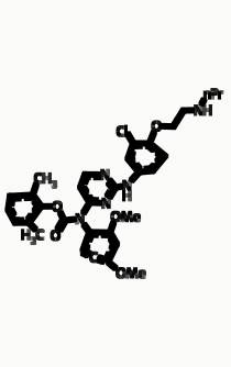 CCCNCCOc1ccc(Nc2nccc(N(C(=O)Oc3c(C)cccc3C)c3ccc(OC)cc3OC)n2)cc1Cl